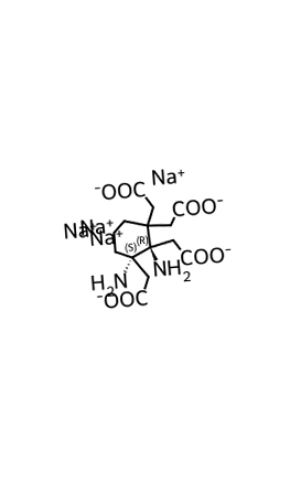 N[C@]1(CC(=O)[O-])CCCC(CC(=O)[O-])(CC(=O)[O-])[C@]1(N)CC(=O)[O-].[Na+].[Na+].[Na+].[Na+]